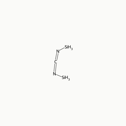 [SiH3]N=C=N[SiH3]